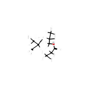 N#CC(F)(C(F)(F)F)C(F)(F)OC(F)(C(F)(F)F)C(F)(F)OC(F)(C(=O)F)C(F)(F)F